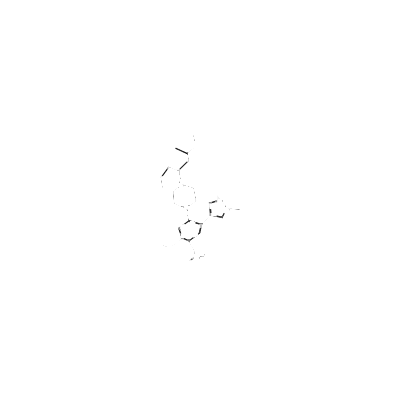 C=C(/C=C(\C=C/C)N1CCN(c2cc(OC)c([N+](=O)[O-])cc2-c2cnn(C)c2)CC1)OC